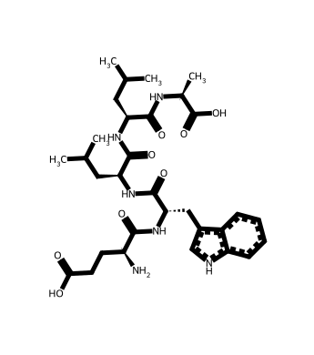 CC(C)C[C@H](NC(=O)[C@H](CC(C)C)NC(=O)[C@H](Cc1c[nH]c2ccccc12)NC(=O)[C@@H](N)CCC(=O)O)C(=O)N[C@@H](C)C(=O)O